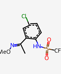 CO/N=C(\C)c1cc(Cl)ccc1NS(=O)(=O)C(F)(F)F